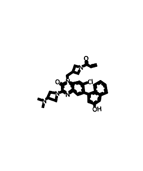 C=CC(=O)N1CC(Cn2c(=O)c(N3CC(N(C)C)C3)nc3cc(-c4cc(O)cc5ccccc45)c(Cl)cc32)C1